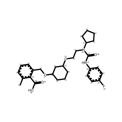 Cc1cccc(COC2CCCC(OCCN(C(=O)Nc3ccc(F)cc3)C3CCCC3)C2)c1C(=O)O